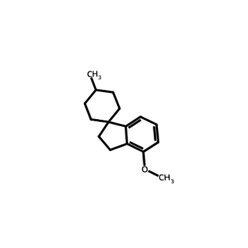 COc1cccc2c1CCC21CCC(C)CC1